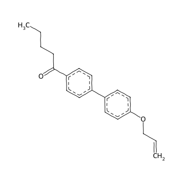 C=CCOc1ccc(-c2ccc(C(=O)CCCC)cc2)cc1